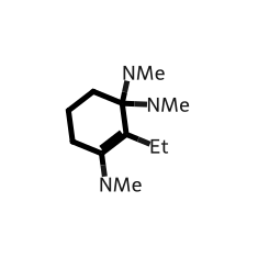 [CH2]CC1=C(NC)CCCC1(NC)NC